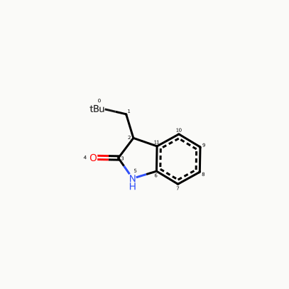 CC(C)(C)CC1C(=O)Nc2ccccc21